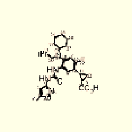 Cc1cc(NC(=O)Nc2cc([C@@H]3C[C@@H]3C(=O)O)c(F)cc2N(CC(C)C)C2CCCCC2)no1